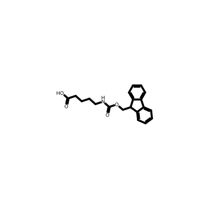 O=C(O)CCCCNC(=O)OCC1c2ccccc2-c2ccccc21